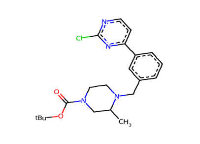 CC1CN(C(=O)OC(C)(C)C)CCN1Cc1cccc(-c2ccnc(Cl)n2)c1